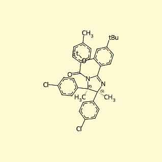 CCOc1cc(C(C)(C)C)ccc1C1=N[C@@](C)(c2ccc(Cl)cc2)[C@@](C)(c2ccc(Cl)cc2)N1C(=O)c1ccc(C)cc1